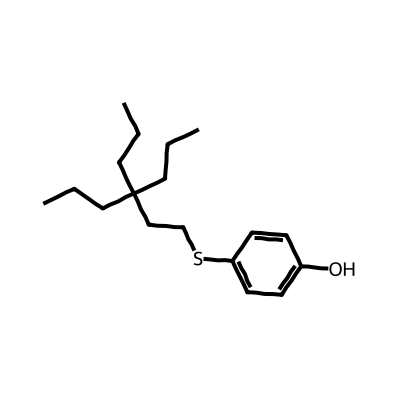 CCCC(CCC)(CCC)CCSc1ccc(O)cc1